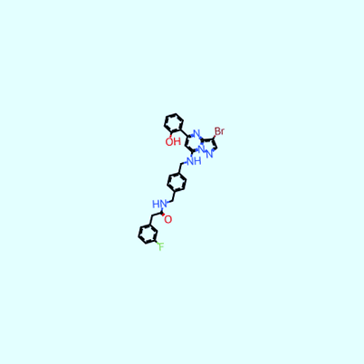 O=C(Cc1cccc(F)c1)NCc1ccc(CNc2cc(-c3ccccc3O)nc3c(Br)cnn23)cc1